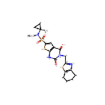 CC1(N(C(=O)O)S(=O)(=O)c2cc3c(=O)n(Cc4nc5c(s4)CCCC5)c(=O)[nH]c3s2)CC1